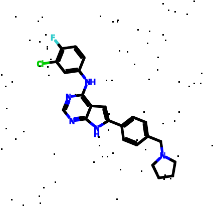 Fc1ccc(Nc2ncnc3[nH]c(-c4ccc(CN5CCCC5)cc4)cc23)cc1Cl